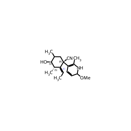 C/C=C1\[C@H](C)[C@@H](O)C(C)C[C@]1(C#N)C1=C(C)NC(OC)C=C1